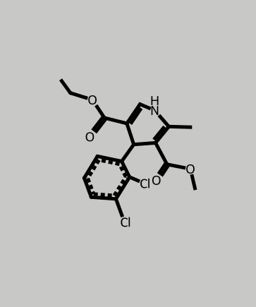 CCOC(=O)C1=CNC(C)=C(C(=O)OC)C1c1cccc(Cl)c1Cl